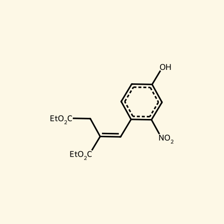 CCOC(=O)CC(=Cc1ccc(O)cc1[N+](=O)[O-])C(=O)OCC